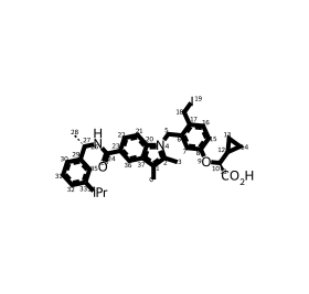 Cc1c(C)n(Cc2cc(O[C@H](C(=O)O)C3CC3)ccc2CI)c2ccc(C(=O)N[C@@H](C)c3cccc(C(C)C)c3)cc12